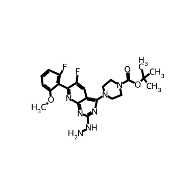 COc1cccc(F)c1-c1nc2nc(NN)nc(N3CCN(C(=O)OC(C)(C)C)CC3)c2cc1F